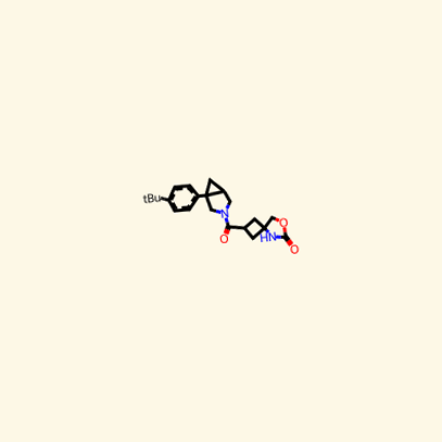 CC(C)(C)c1ccc(C23CC2CN(C(=O)C2CC4(COC(=O)N4)C2)C3)cc1